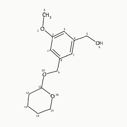 COc1cc(CO)cc(COC2CCCCO2)c1